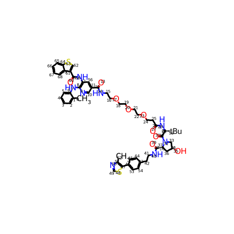 Cc1ccccc1Nc1ncc(C(=O)NCCOCCOCCOCCC(=O)N[C@H](C(=O)N2C[C@H](O)C[C@H]2C(=O)NCCc2ccc(-c3scnc3C)cc2)C(C)(C)C)cc1NC(=O)c1csc2ccccc12